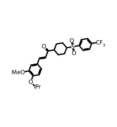 COc1cc(/C=C/C(=O)C2CCC(S(=O)(=O)c3ccc(C(F)(F)F)cc3)CC2)ccc1OC(C)C